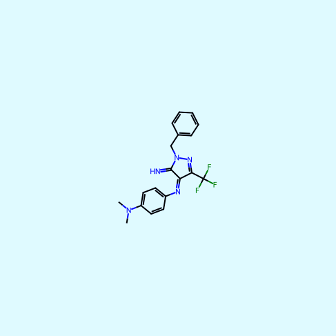 CN(C)c1ccc(N=C2C(=N)N(Cc3ccccc3)N=C2C(F)(F)F)cc1